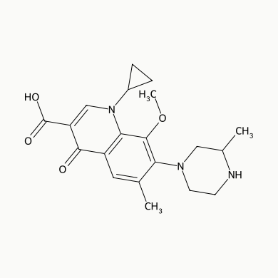 COc1c(N2CCNC(C)C2)c(C)cc2c(=O)c(C(=O)O)cn(C3CC3)c12